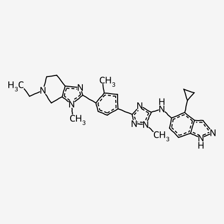 CCN1CCc2nc(-c3ccc(-c4nc(Nc5ccc6[nH]ncc6c5C5CC5)n(C)n4)cc3C)n(C)c2C1